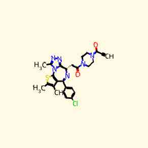 C#CC(=O)N1CCN(C(=O)C[C@@H]2N=C(c3ccc(Cl)cc3)c3c(sc(C)c3C)-n3c(C)nnc32)CC1